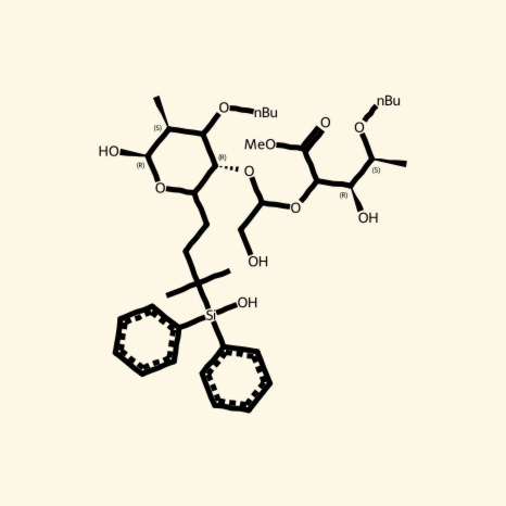 CCCCOC1[C@H](OC(CO)OC(C(=O)OC)[C@H](O)[C@H](C)OCCCC)C(CCC(C)(C)[Si](O)(c2ccccc2)c2ccccc2)O[C@@H](O)[C@H]1C